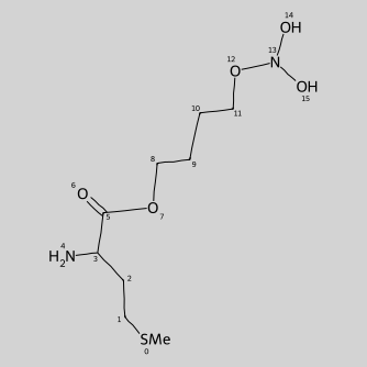 CSCCC(N)C(=O)OCCCCON(O)O